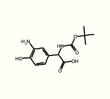 CC(C)(C)OC(=O)NC(C(=O)O)c1ccc(O)c(N)c1